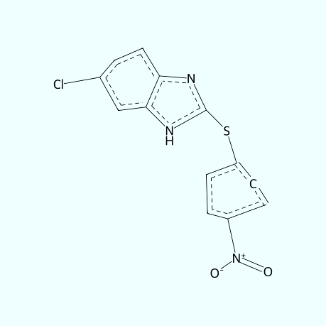 O=[N+]([O-])c1ccc(Sc2nc3ccc(Cl)cc3[nH]2)cc1